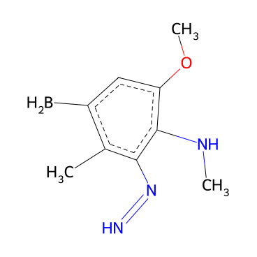 Bc1cc(OC)c(NC)c(N=N)c1C